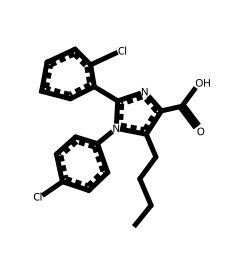 CCCCc1c(C(=O)O)nc(-c2ccccc2Cl)n1-c1ccc(Cl)cc1